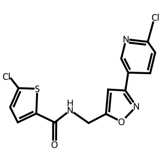 O=C(NCc1cc(-c2ccc(Cl)nc2)no1)c1ccc(Cl)s1